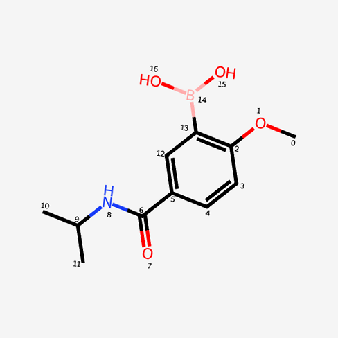 COc1ccc(C(=O)NC(C)C)cc1B(O)O